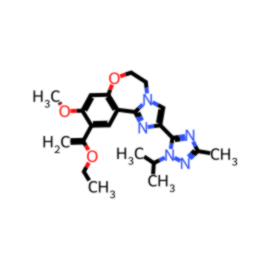 C=C(OCC)c1cc2c(cc1OC)OCCn1cc(-c3nc(C)nn3C(C)C)nc1-2